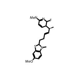 CNC1=NC(F)C([C@@H](C)/C=C/CCC2Sc3cc(OC)ccc3N2C)C=C1